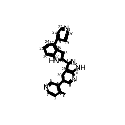 Cc1ccncc1-c1cnc2[nH]nc(-c3cc4c(-c5ccncc5)cccc4[nH]3)c2c1